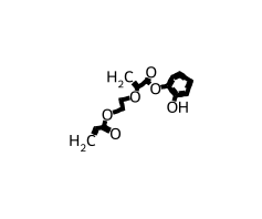 C=CC(=O)OCCOC(=C)C(=O)Oc1ccccc1O